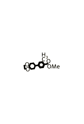 COC(=O)c1ccc(C2CCC3(CC2)OCCO3)cc1C